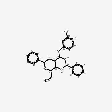 OCC1OC(c2ccccc2)OC2C(Cc3ccnc(Br)c3)OC(c3ccccc3)OC12